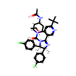 CCOc1cc(C(C)(C)C)ncc1C1=N[C@@](C)(c2ccc(Cl)cc2)[C@@](C)(c2ccc(Cl)cc2)N1C(=O)N1CCC(NC(C)=O)CC1